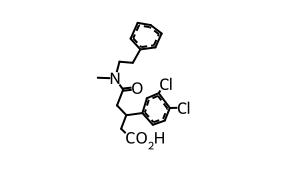 CN(CCc1ccccc1)C(=O)CC(CC(=O)O)c1ccc(Cl)c(Cl)c1